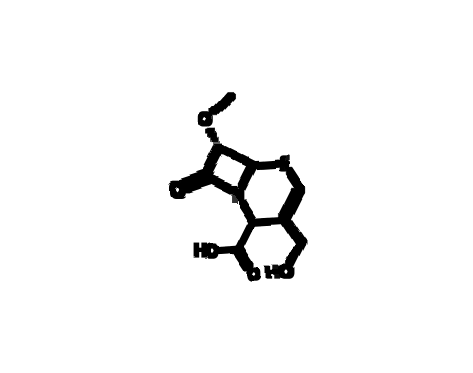 CO[C@H]1C(=O)N2C(C(=O)O)C(CO)=CSC12